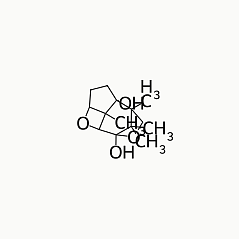 CC12C3CCC1(O)C1(C)COC(O)(C2O3)C1(C)C